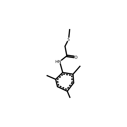 CSCC(=O)Nc1c(C)cc(C)cc1C